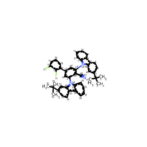 CC(C)(C)c1ccc2c3ccccc3n(-c3cc(-c4cccc(F)c4F)cc(-n4c5ccccc5c5ccc(C(C)(C)C)cc54)c3C#N)c2c1